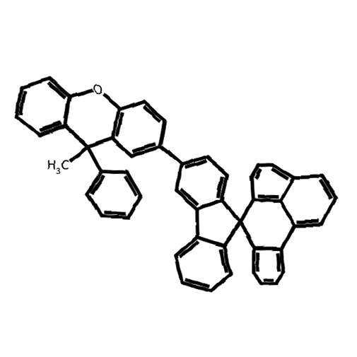 CC1(c2ccccc2)c2ccccc2Oc2ccc(-c3ccc4c(c3)-c3ccccc3C43c4ccccc4-c4cccc5cccc3c45)cc21